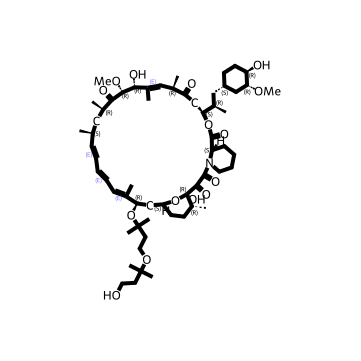 CO[C@@H]1C[C@H](C[C@@H](C)[C@@H]2CC(=O)[C@H](C)/C=C(\C)[C@@H](O)[C@@H](OC)C(=O)[C@H](C)C[C@H](C)/C=C/C=C/C=C(\C)[C@H](OC(C)(C)CCOC(C)(C)CCO)C[C@@H]3CC[C@@H](C)[C@@](O)(O3)C(=O)C(=O)N3CCCC[C@H]3C(=O)O2)CC[C@H]1O